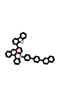 c1ccc(N(c2ccc(-c3ccc(-c4ccc5ccccc5c4)cc3)cc2)c2ccc(-c3cccc4c3oc3ccccc34)cc2)c(-c2cccc3ccccc23)c1